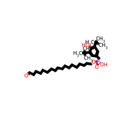 CC(C)(C)c1cc(CP(=O)(O)OCCCCCCCCCCCCCCCCCC=O)cc(C(C)(C)C)c1O